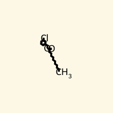 CCCCCCCCCCCC(=O)OCc1cccc(Cl)c1